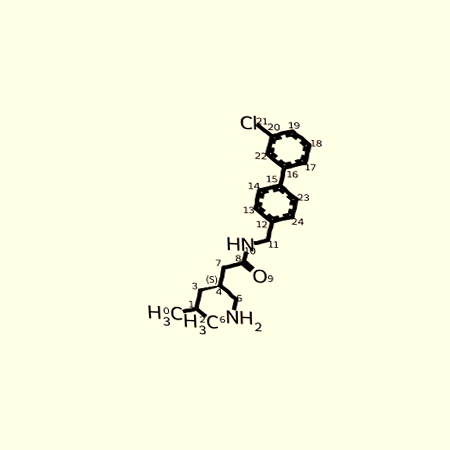 CC(C)C[C@H](CN)CC(=O)NCc1ccc(-c2cccc(Cl)c2)cc1